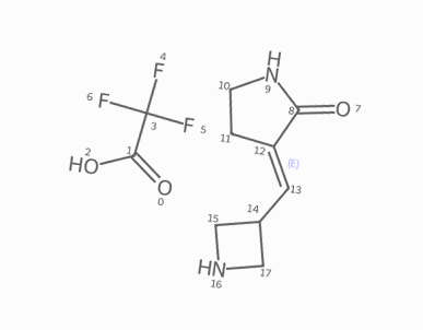 O=C(O)C(F)(F)F.O=C1NCC/C1=C\C1CNC1